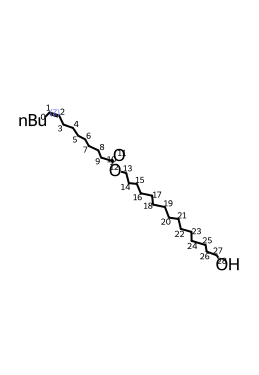 CCCC/C=C\CCCCCCCC(=O)OCCCCCCCCCCCCCCCO